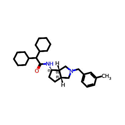 Cc1cccc(CN2C[C@@H]3CC[C@H](NC(=O)C(C4CCCCC4)C4CCCCC4)[C@@H]3C2)c1